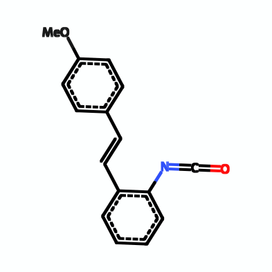 COc1ccc(C=Cc2ccccc2N=C=O)cc1